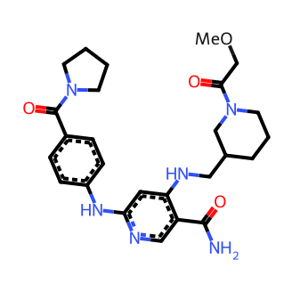 COCC(=O)N1CCCC(CNc2cc(Nc3ccc(C(=O)N4CCCC4)cc3)ncc2C(N)=O)C1